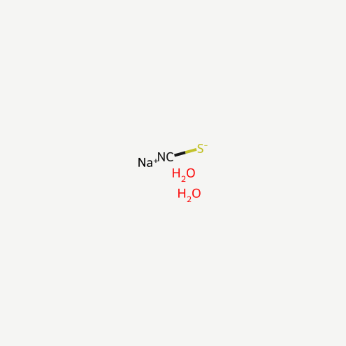 N#C[S-].O.O.[Na+]